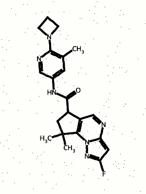 Cc1cc(NC(=O)C2CC(C)(C)c3c2cnc2cc(F)nn32)cnc1N1CCC1